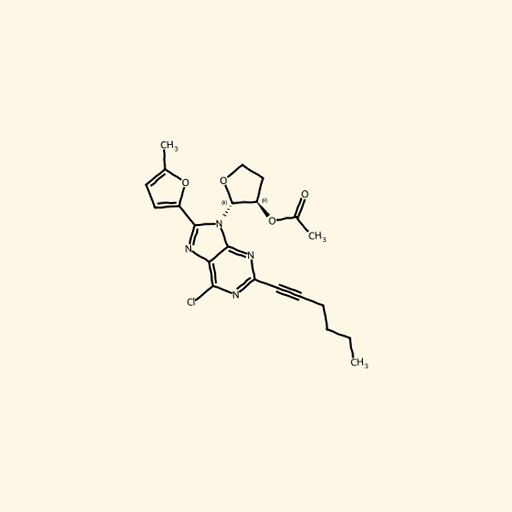 CCCCC#Cc1nc(Cl)c2nc(-c3ccc(C)o3)n([C@@H]3OCC[C@H]3OC(C)=O)c2n1